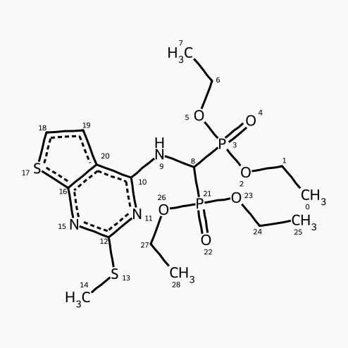 CCOP(=O)(OCC)C(Nc1nc(SC)nc2sccc12)P(=O)(OCC)OCC